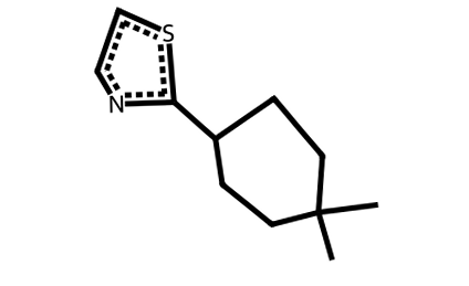 CC1(C)CCC(c2nccs2)CC1